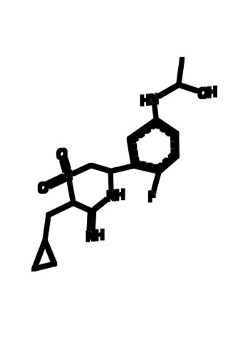 CC(O)Nc1ccc(F)c(C2CS(=O)(=O)C(CC3CC3)C(=N)N2)c1